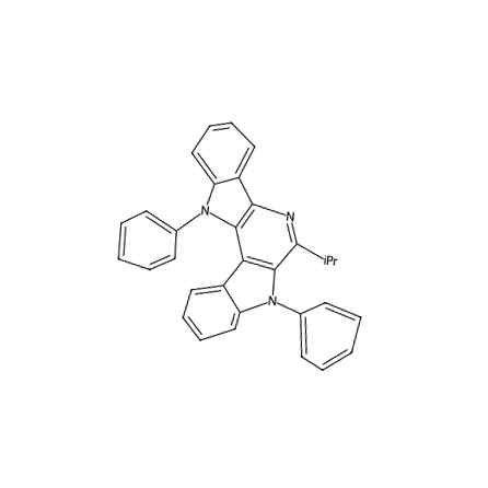 CC(C)c1nc2c3ccccc3n(-c3ccccc3)c2c2c3ccccc3n(-c3ccccc3)c12